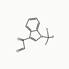 O=CC(=O)c1cn(C(F)(F)F)c2ccccc12